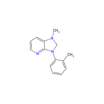 Cc1ccccc1N1CN(C)c2cccnc21